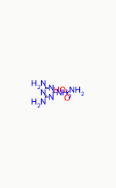 NC(=O)O.Nc1nc(N)nc(N)n1